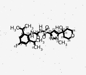 CC(C)c1cc(F)cc(C(C)C)c1NC(=O)NS(=O)(=O)c1cc(C2(O)CCOCC2)n(C)n1